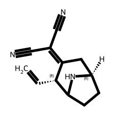 C=C[C@@H]1C(=C(C#N)C#N)C[C@H]2CCC1N2